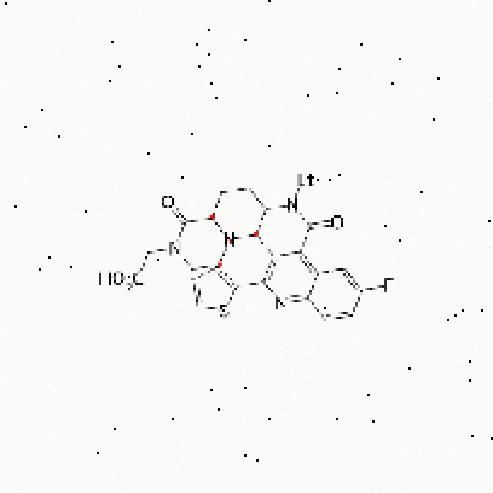 CCN(C(=O)c1c(CN2CCN(CC(=O)O)C(=O)C2)c(-c2cccs2)nc2ccc(F)cc12)C1CCCCC1